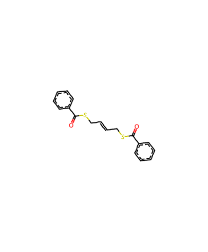 O=C(SCC=CCSC(=O)c1ccccc1)c1ccccc1